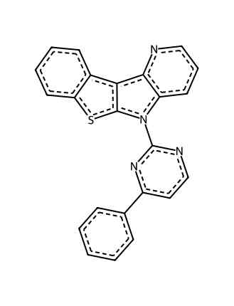 c1ccc(-c2ccnc(-n3c4cccnc4c4c5ccccc5sc43)n2)cc1